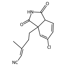 C/C(=C\C#N)CCC12C=C(Cl)C=CC1C(=O)NC2=O